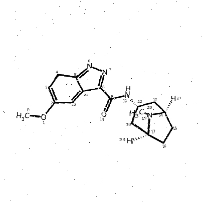 COC1=CCC2=NN=C(C(=O)N[C@@H]3C[C@H]4CC[C@@H](C3)N4C)C2=C1